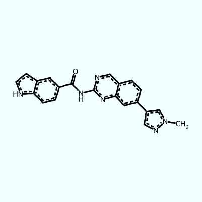 Cn1cc(-c2ccc3cnc(NC(=O)c4ccc5[nH]ccc5c4)nc3c2)cn1